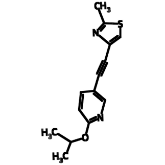 Cc1nc(C#Cc2ccc(OC(C)C)nc2)cs1